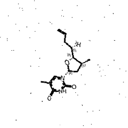 [2H][C@@H](CC=C)[C@H]1O[C@@H](n2cc(C)c(=O)[nH]c2=O)C[C@@H]1C